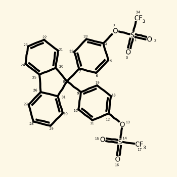 O=S(=O)(Oc1ccc(C2(c3ccc(OS(=O)(=O)C(F)(F)F)cc3)c3ccccc3-c3ccccc32)cc1)C(F)(F)F